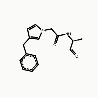 C[C@@H]([C]=O)NC(=O)C[SH]1C=CC(Cc2ccccc2)=C1